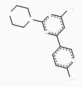 N#Cc1cc(-c2ccc(N)nc2)nc(N2CCOCC2)n1